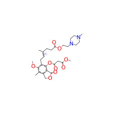 COC(=O)CC(=O)Oc1c(C/C=C(\C)CCC(=O)OCCN2CCN(C)CC2)c(OC)c(C)c2c1C(=O)OC2